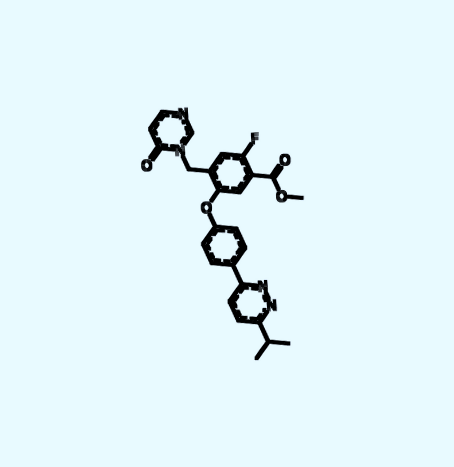 COC(=O)c1cc(Oc2ccc(-c3ccc(C(C)C)nn3)cc2)c(Cn2cnccc2=O)cc1F